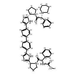 COC(=O)N[C@@H](C(=O)N1CCC[C@H]1c1ncc(-c2ccc(-c3ccc(-c4cnc([C@@H]5CCCN5C(=O)[C@@H](c5ccccc5)N5CCCCC5)[nH]4)cc3)cc2)[nH]1)c1ccccc1